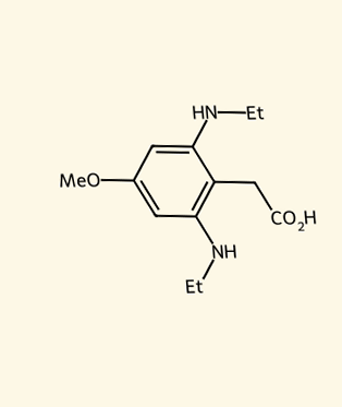 CCNc1cc(OC)cc(NCC)c1CC(=O)O